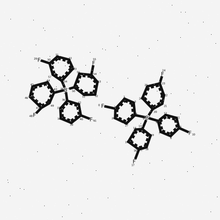 Fc1ccc([B-](c2ccc(F)cc2)(c2ccc(F)cc2)c2ccc(F)cc2)cc1.Fc1cccc([B-](c2cccc(F)c2)(c2cccc(F)c2)c2cccc(F)c2)c1